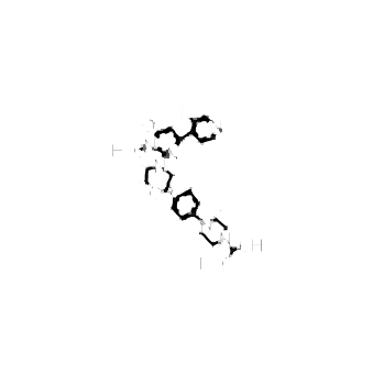 CC(C)N1CCN(c2ccc([C@H]3CN(c4nc(-c5ccncc5F)cc(=O)n4C)CCO3)cc2)CC1